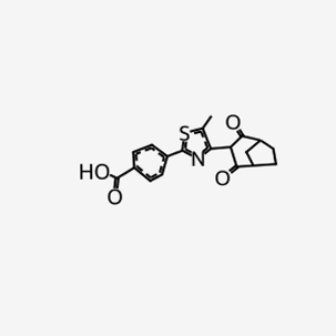 Cc1sc(-c2ccc(C(=O)O)cc2)nc1C1C(=O)C2CCC(C2)C1=O